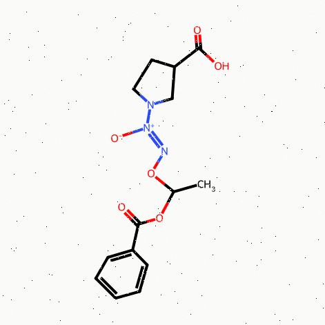 CC(ON=[N+]([O-])N1CCC(C(=O)O)C1)OC(=O)c1ccccc1